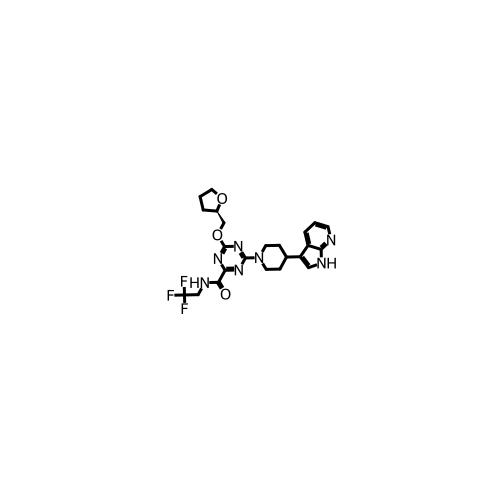 O=C(NCC(F)(F)F)c1nc(OC[C@H]2CCCO2)nc(N2CCC(c3c[nH]c4ncccc34)CC2)n1